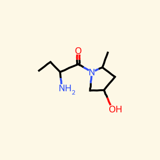 CCC(N)C(=O)N1CC(O)CC1C